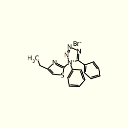 CCc1csc([N+]2(c3ccccc3)N=NN=C2c2ccccc2)n1.[Br-]